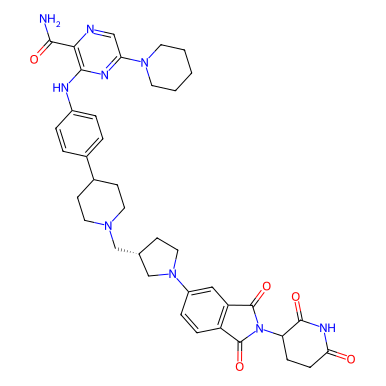 NC(=O)c1ncc(N2CCCCC2)nc1Nc1ccc(C2CCN(C[C@@H]3CCN(c4ccc5c(c4)C(=O)N(C4CCC(=O)NC4=O)C5=O)C3)CC2)cc1